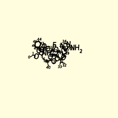 CCOC(=O)C(C)NP(=O)(OC[C@@]1(CF)O[C@@H](c2ccc3c(N)ncnn23)[C@H](OC(=O)C(C)C)[C@@H]1OC(=O)C(C)C)Oc1ccccc1